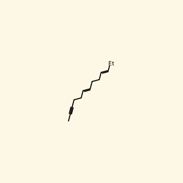 CC#CCCC=CCCC=CCC